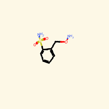 NOCc1ccccc1S(N)(=O)=O